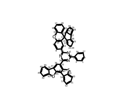 c1ccc(-c2nc(-c3ccc4c(c3)C3(c5ccccc5O4)c4ccccc4-c4ccccc43)nc(-c3cc4c5ccccc5oc4c4c3sc3ccccc34)n2)cc1